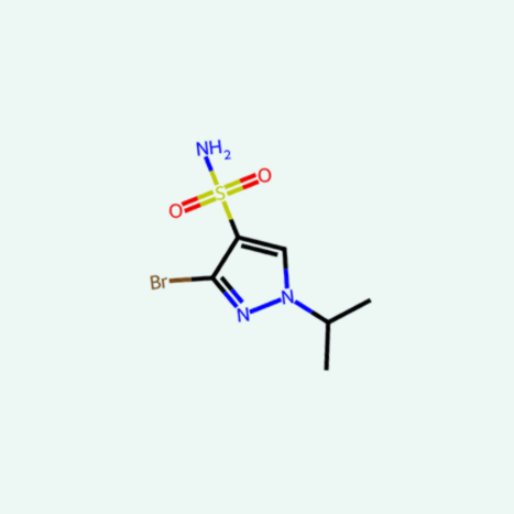 CC(C)n1cc(S(N)(=O)=O)c(Br)n1